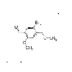 COCc1cc(OC)c(C=O)cc1Br